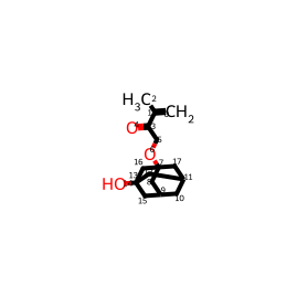 C=C(C)C(=O)COC12CC3CC(CC(O)(C3)C1)C2